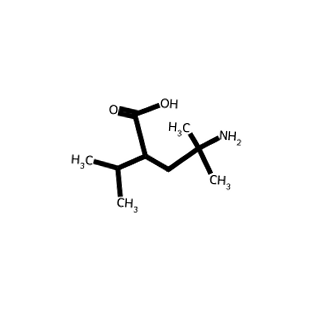 CC(C)C(CC(C)(C)N)C(=O)O